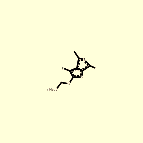 CCCCCCCCOc1sc2c(C)sc(C)c2c1F